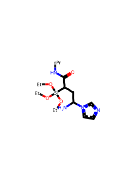 CCCNC(=O)C(CC(N)n1ccnc1)[Si](OCC)(OCC)OCC